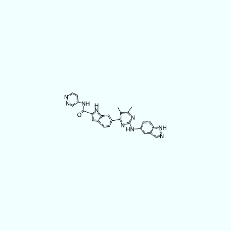 Cc1nc(Nc2ccc3[nH]ncc3c2)nc(-c2ccc3cc(C(=O)Nc4ccnnc4)[nH]c3c2)c1C